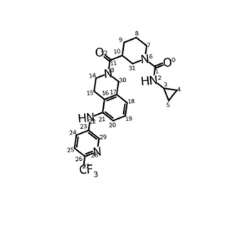 O=C(NC1CC1)N1CCCC(C(=O)N2CCc3c(cccc3Nc3ccc(C(F)(F)F)nc3)C2)C1